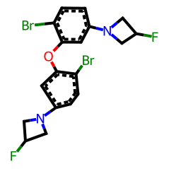 FC1CN(c2ccc(Br)c(Oc3cc(N4CC(F)C4)ccc3Br)c2)C1